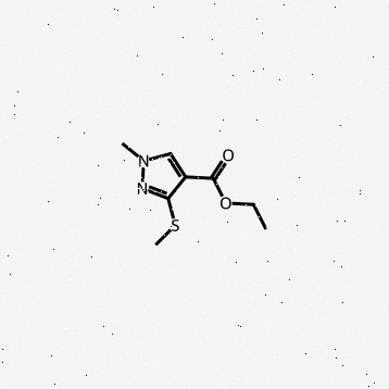 CCOC(=O)c1cn(C)nc1SC